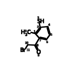 Cc1c(S)cccc1C(=O)CBr